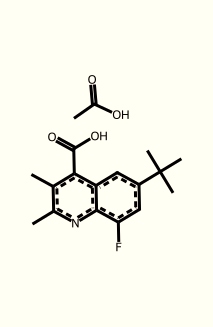 CC(=O)O.Cc1nc2c(F)cc(C(C)(C)C)cc2c(C(=O)O)c1C